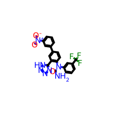 NC(=O)N(c1cccc(C(F)(F)F)c1)c1ccc(-c2cccc([N+](=O)[O-])c2)cc1-c1nnn[nH]1